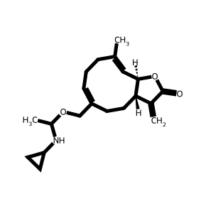 C=C1C(=O)O[C@@H]2/C=C(\C)CC/C=C(/COC(C)NC3CC3)CC[C@@H]12